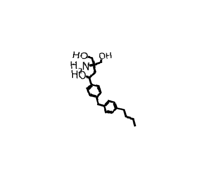 CCCCc1ccc(Cc2ccc(C(O)CC(N)(CO)CO)cc2)cc1